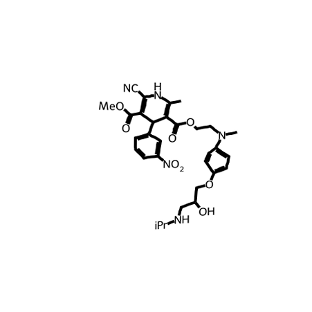 COC(=O)C1=C(C#N)NC(C)=C(C(=O)OCCN(C)c2ccc(OCC(O)CNC(C)C)cc2)C1c1cccc([N+](=O)[O-])c1